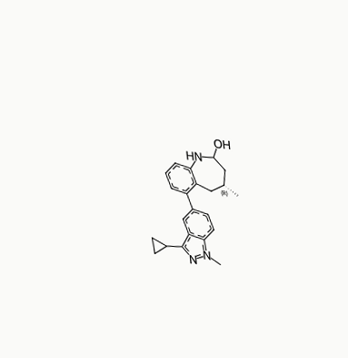 C[C@@H]1Cc2c(cccc2-c2ccc3c(c2)c(C2CC2)nn3C)NC(O)C1